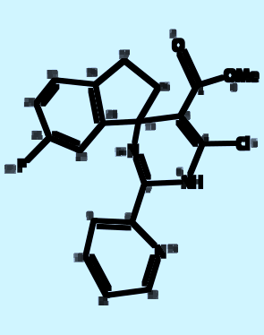 COC(=O)C1=C(Cl)NC(c2ccccn2)=NC12CCc1ccc(F)cc12